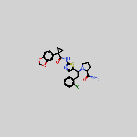 NC(=O)C1CCCN1C(Cc1ccccc1Cl)c1cnc(NC(=O)C2(c3ccc4c(c3)OCO4)CC2)s1